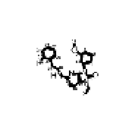 CCn1c(=O)n(-c2cccc(OC)c2)c2nc(NCCc3ccccc3F)ncc21